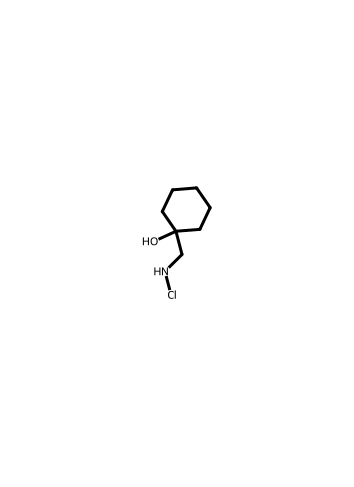 OC1(CNCl)CCCCC1